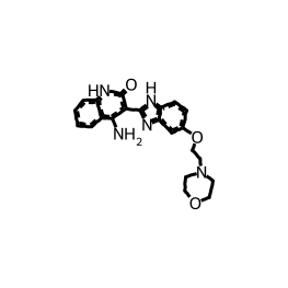 Nc1c(-c2nc3cc(OCCN4CCOCC4)ccc3[nH]2)c(=O)[nH]c2ccccc12